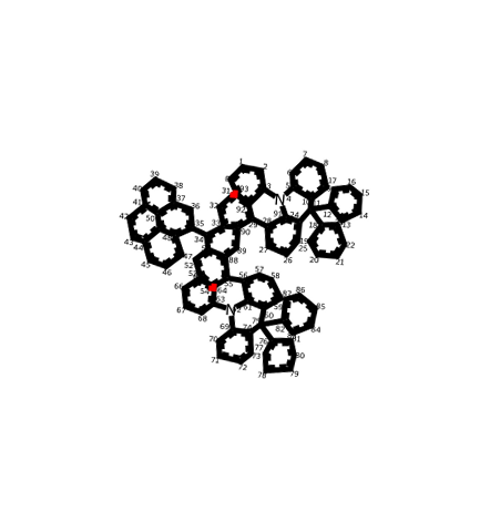 c1ccc(N2c3ccccc3C(c3ccccc3)(c3ccccc3)c3cccc(-c4cccc5c(-c6cc7cccc8ccc9cccc6c9c87)c6cccc(-c7cccc8c7N(c7ccccc7)c7ccccc7C8(c7ccccc7)c7ccccc7)c6cc45)c32)cc1